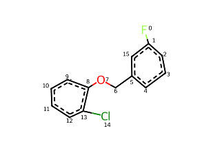 Fc1cccc(COc2[c]cccc2Cl)c1